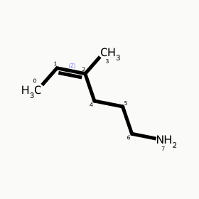 C/C=C(/C)CCCN